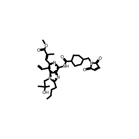 C=Cc1c(/C=C(\C)C(=O)OC)nc(NC(=O)C2CCC(CN3C(=O)C=CC3=O)CC2)c2nc(CCCC)n(CC(C)(C)O)c12